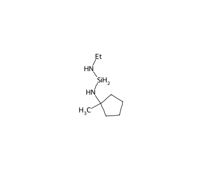 CCN[SiH2]NC1(C)CCCC1